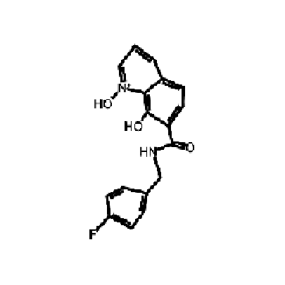 O=C(NCc1ccc(F)cc1)c1ccc2ccc[n+](O)c2c1O